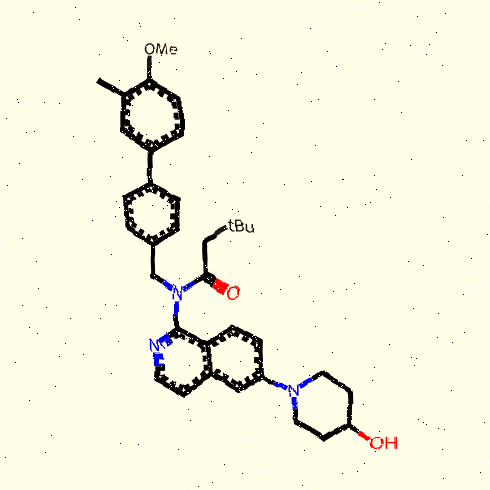 COc1ccc(-c2ccc(CN(C(=O)CC(C)(C)C)c3nccc4cc(N5CCC(O)CC5)ccc34)cc2)cc1C